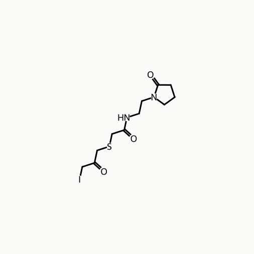 O=C(CI)CSCC(=O)NCCN1CCCC1=O